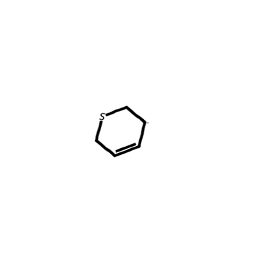 [CH]1C=CCSC1